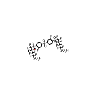 O=S(=O)(c1ccc(S(=O)(=O)C(F)(F)C(F)(F)C(F)(F)C(F)(F)S(=O)(=O)O)c(F)c1)c1ccc(S(=O)(=O)C(F)(F)C(F)(F)C(F)(F)C(F)(F)S(=O)(=O)O)c(F)c1